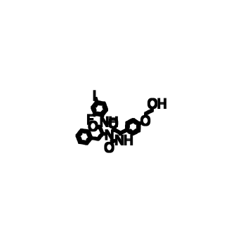 O=C(Nc1ccc(I)cc1F)C(Cc1ccccc1)N1C(=O)NC(c2ccc(OCCO)cc2)C1=O